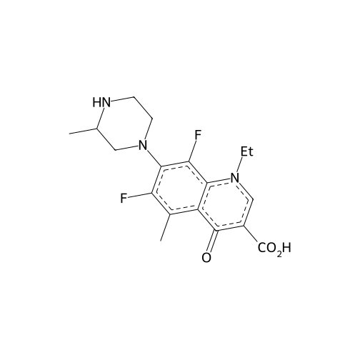 CCn1cc(C(=O)O)c(=O)c2c(C)c(F)c(N3CCNC(C)C3)c(F)c21